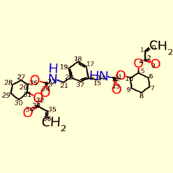 C=CC(=O)OC1CCCCC1OC(=O)NCc1cccc(CNC(=O)OC2CCCCC2OC(=O)C=C)c1